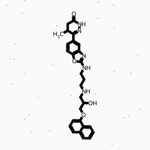 CC1CC(=O)NN=C1c1ccc2oc(NCCCNCC(O)COc3cccc4ccccc34)nc2c1